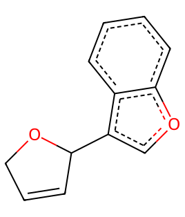 C1=CC(c2coc3ccccc23)OC1